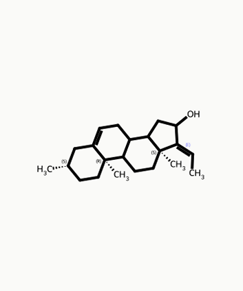 C/C=C1/C(O)CC2C3CC=C4C[C@@H](C)CC[C@]4(C)C3CC[C@]12C